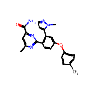 Cc1cc(C(N)=O)nc(-c2ccc(Oc3ccc(C(F)(F)F)cc3)cc2-c2ccnn2C)n1